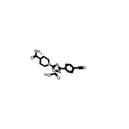 N#Cc1ccc(-c2noc(N3CCC(C(N)=O)CC3)n2)cc1.O=CO